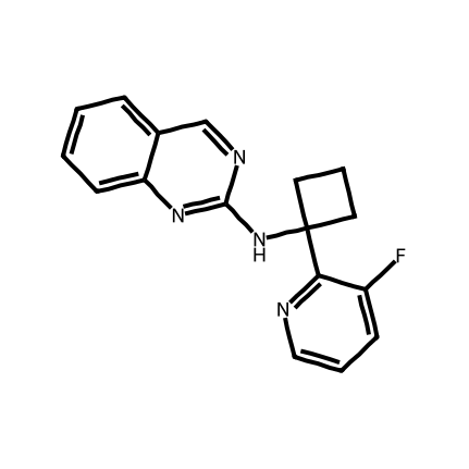 Fc1cccnc1C1(Nc2ncc3ccccc3n2)CCC1